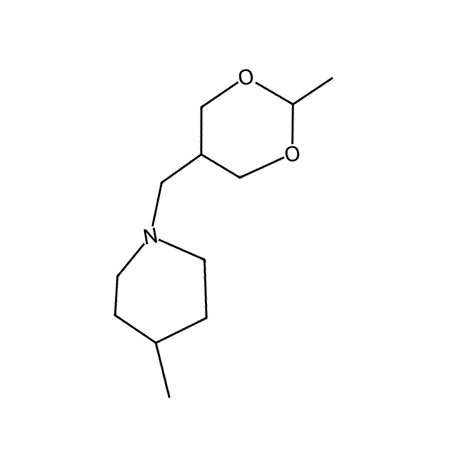 CC1CCN(CC2COC(C)OC2)CC1